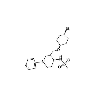 CC[C@H]1CC[C@@H](OCC2CN(c3ccncc3)CCC2NS(C)(=O)=O)CC1